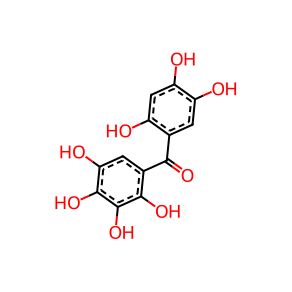 O=C(c1cc(O)c(O)cc1O)c1cc(O)c(O)c(O)c1O